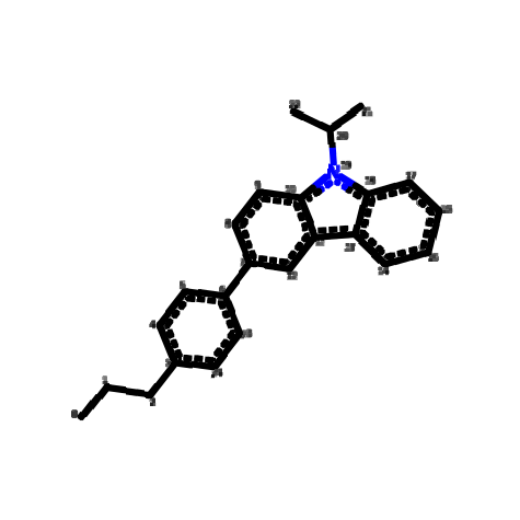 CCCc1ccc(-c2ccc3c(c2)c2ccccc2n3C(C)C)cc1